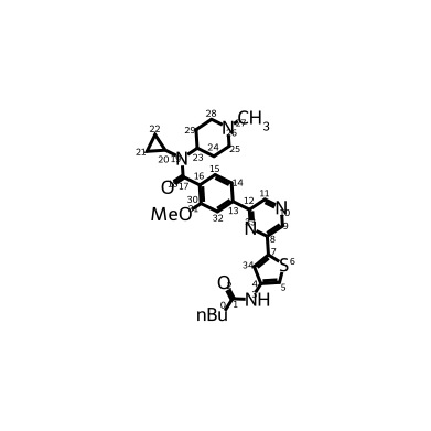 CCCCC(=O)Nc1csc(-c2cncc(-c3ccc(C(=O)N(C4CC4)C4CCN(C)CC4)c(OC)c3)n2)c1